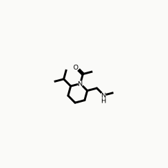 CNCC1CCCC(C(C)C)N1C(C)=O